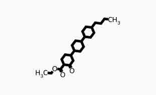 CCCCC1CCC(C2CCC(C3CCC(C(=O)OCC)C(=O)C3)CC2)CC1